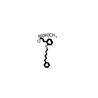 CN(O)C(=O)C=Cc1ccccc1SCCCCCCc1ccccc1